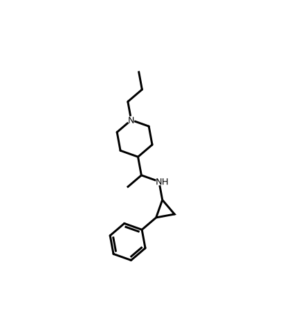 CCCN1CCC(C(C)NC2CC2c2ccccc2)CC1